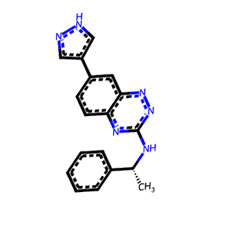 C[C@@H](Nc1nnc2cc(-c3cn[nH]c3)ccc2n1)c1ccccc1